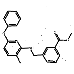 COC(=O)c1cccc(CNc2cc(Oc3ccccc3)ccc2C)c1